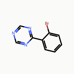 Brc1ccccc1-c1ncncn1